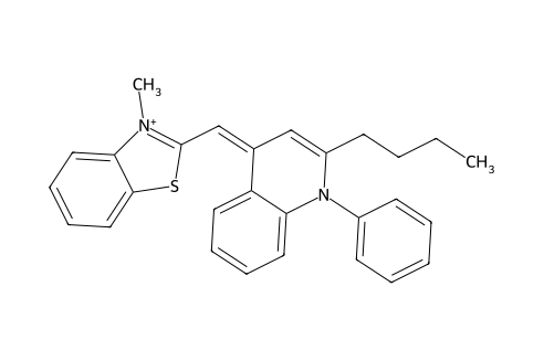 CCCCC1=C/C(=C/c2sc3ccccc3[n+]2C)c2ccccc2N1c1ccccc1